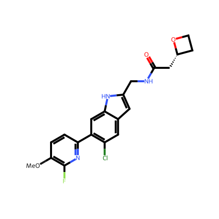 COc1ccc(-c2cc3[nH]c(CNC(=O)C[C@H]4CCO4)cc3cc2Cl)nc1F